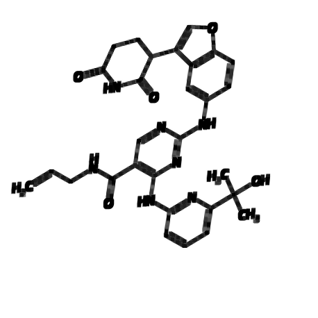 C=CCNC(=O)c1cnc(Nc2ccc3occ(C4CCC(=O)NC4=O)c3c2)nc1Nc1cccc(C(C)(C)O)n1